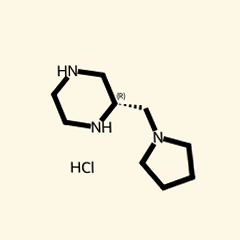 C1CCN(C[C@H]2CNCCN2)C1.Cl